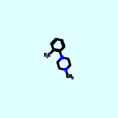 CN1CCN(c2ccc[c]c2C(F)(F)F)CC1